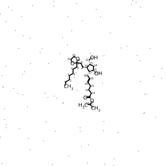 CCCCCCCC1(CC[C@H]2[C@H](CO)C[C@H](O)[C@@H]2CC=CCCCC(=O)OC(C)C)OCCO1